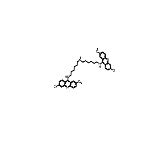 COc1ccc2nc3cc(Cl)ccc3c(NCCCCCCN(C)CCCCCCNc3c4ccc(Cl)cc4nc4ccc(OC)cc34)c2c1